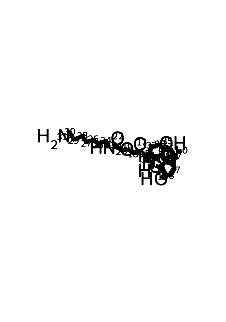 CN1CC[C@]23c4c5ccc(O)c4O[C@H]2[C@@H](NC(=O)COCC(=O)NCCCCCCCN)CC[C@@]3(O)C1C5